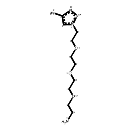 CC(C)c1cn(CCOCCOCCOCCN)nn1